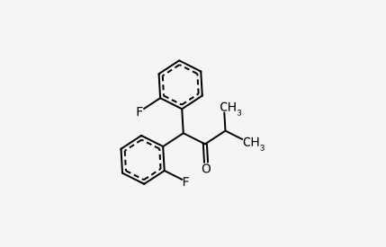 CC(C)C(=O)C(c1ccccc1F)c1ccccc1F